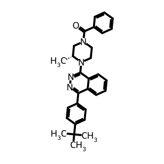 C[C@@H]1CN(C(=O)c2ccccc2)CCN1c1nnc(-c2ccc(C(C)(C)C)cc2)c2ccccc12